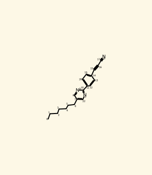 CCCCCCCc1cnc(-c2ccc(C#CC#N)cc2)nc1